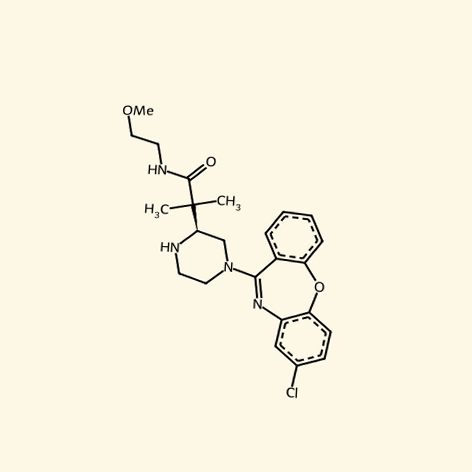 COCCNC(=O)C(C)(C)[C@H]1CN(C2=Nc3cc(Cl)ccc3Oc3ccccc32)CCN1